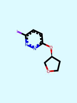 Ic1ccc(O[C@H]2CCOC2)nn1